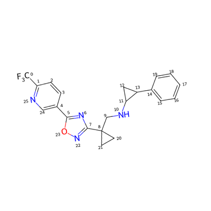 FC(F)(F)c1ccc(-c2nc(C3(CNC4CC4c4ccccc4)CC3)no2)cn1